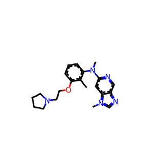 Cc1c(OCCN2CCCC2)cccc1N(C)c1cc2c(cn1)ncn2C